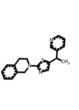 CC(c1cccnc1)c1cnc(N2CCc3ccccc3C2)s1